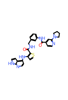 O=C(Nc1cccc(CNC(=O)c2sccc2Nc2ccnc3[nH]ccc23)c1)c1ccnc(N2CCCC2)c1